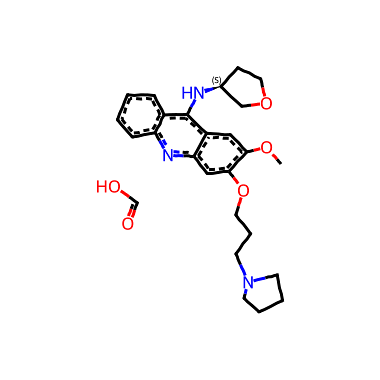 COc1cc2c(N[C@H]3CCOC3)c3ccccc3nc2cc1OCCCN1CCCC1.O=CO